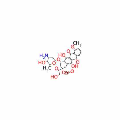 COc1cccc2c1C(=O)c1c(O)c3c(c(O)c1C2=O)C[C@@](O)(C(=O)CO)C[C@@H]3OC1CC(N)C(O)C(C)O1.[O]=[Zn]